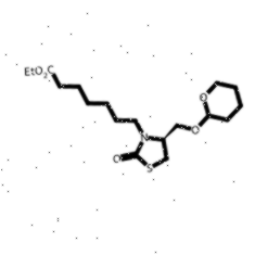 CCOC(=O)CCCCCCN1C(=O)SC[C@@H]1COC1CCCCO1